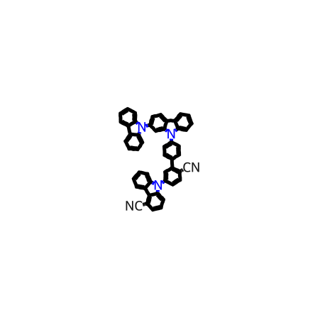 N#Cc1ccc(-n2c3ccccc3c3c(C#N)cccc32)cc1-c1ccc(-n2c3ccccc3c3ccc(-n4c5ccccc5c5ccccc54)cc32)cc1